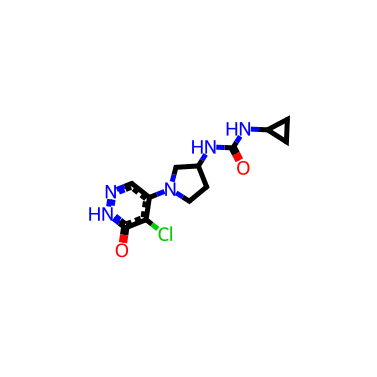 O=C(NC1CC1)NC1CCN(c2cn[nH]c(=O)c2Cl)C1